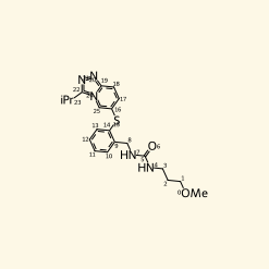 COCCCNC(=O)NCc1ccccc1Sc1ccc2nnc(C(C)C)n2c1